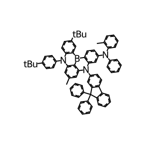 Cc1cc2c3c(c1)N(c1ccc4c(c1)C(c1ccccc1)(c1ccccc1)c1ccccc1-4)c1cc(N(c4ccccc4)c4ccccc4C)ccc1B3c1cc(C(C)(C)C)ccc1N2c1ccc(C(C)(C)C)cc1